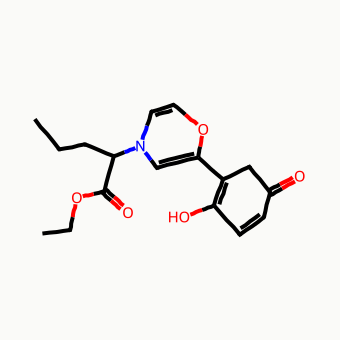 CCCC(C(=O)OCC)N1C=COC(C2=C(O)C=CC(=O)C2)=C1